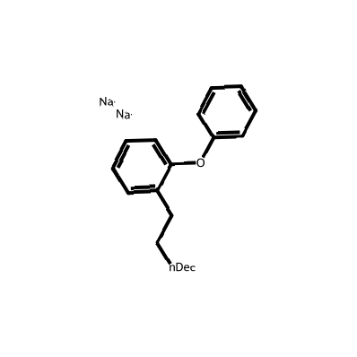 CCCCCCCCCCCCc1ccccc1Oc1ccccc1.[Na].[Na]